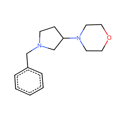 c1ccc(CN2CCC(N3CCOCC3)C2)cc1